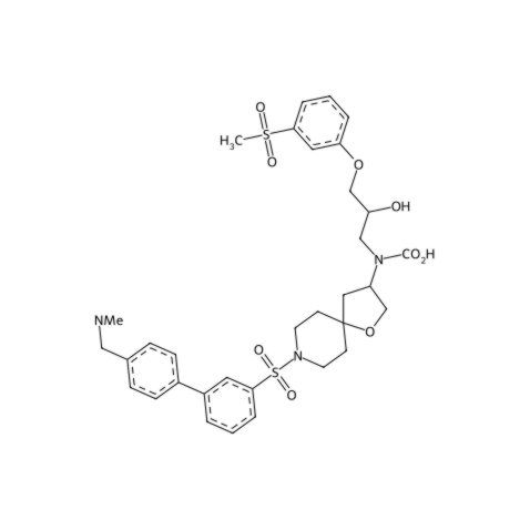 CNCc1ccc(-c2cccc(S(=O)(=O)N3CCC4(CC3)CC(N(CC(O)COc3cccc(S(C)(=O)=O)c3)C(=O)O)CO4)c2)cc1